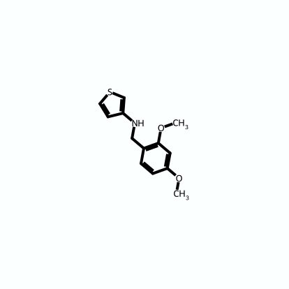 COc1ccc(CNc2ccsc2)c(OC)c1